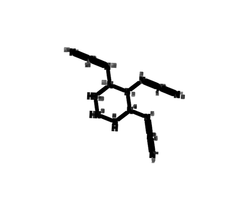 [N-]=[N+]=NB1N(N=[N+]=[N-])BNBN1N=[N+]=[N-]